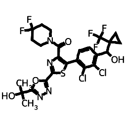 CC(C)(O)c1nnc(-c2nc(C(=O)N3CCC(F)(F)CC3)c(-c3ccc(C(O)C4(C(F)(F)F)CC4)c(Cl)c3Cl)s2)o1